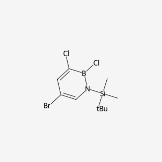 CC(C)(C)[Si](C)(C)N1C=C(Br)C=C(Cl)B1Cl